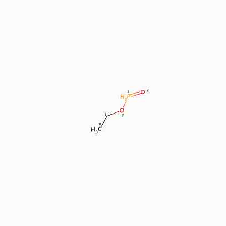 CCO[PH2]=O